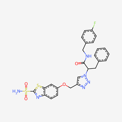 NS(=O)(=O)c1nc2ccc(OCc3cn(C(Cc4ccccc4)C(=O)NCc4ccc(F)cc4)nn3)cc2s1